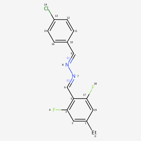 CCc1cc(F)c(/C=N/N=C/c2ccc(Cl)cc2)c(F)c1